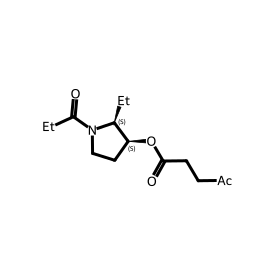 CCC(=O)N1CC[C@H](OC(=O)CCC(C)=O)[C@@H]1CC